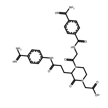 N=C(N)c1ccc(NC(=O)CCC2C(=O)N(CC(=O)O)CCN2C(=O)CNC(=O)c2ccc(C(=N)N)cc2)cc1